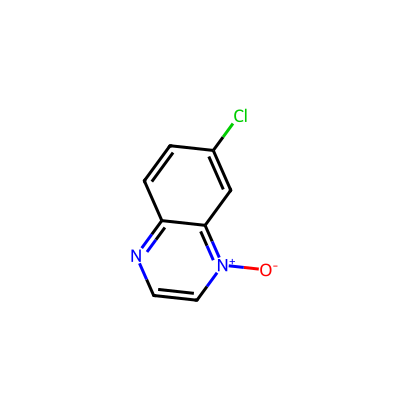 [O-][n+]1ccnc2ccc(Cl)cc21